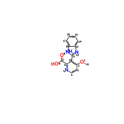 COc1ccnc(C(=O)O)c1-c1nc2ccccc2[nH]1